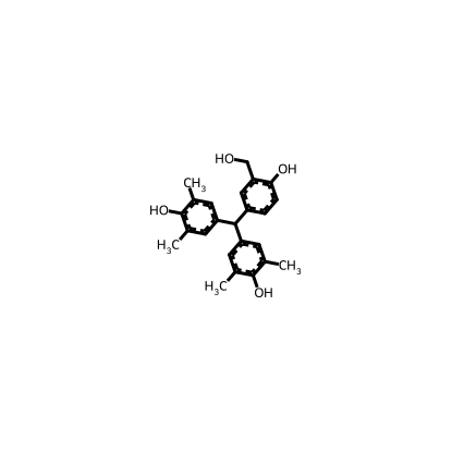 Cc1cc(C(c2cc(C)c(O)c(C)c2)c2ccc(O)c(CO)c2)cc(C)c1O